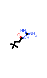 CC(C)(C)CCC(=O)NC(=N)N